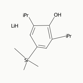 CC(C)c1cc([Si](C)(C)C)cc(C(C)C)c1O.[LiH]